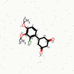 COc1ccc(C2CC(=O)CC(=O)C2)c(Cl)c1OC